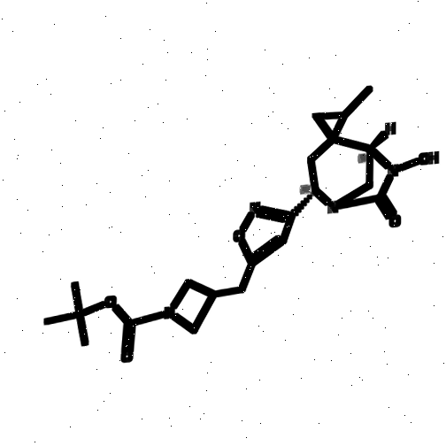 CC1CC12C[C@@H](c1cc(CC3CN(C(=O)OC(C)(C)C)C3)on1)N1C[C@H]2N(O)C1=O